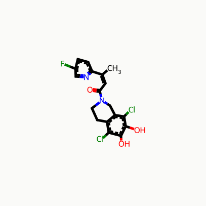 CC(=CC(=O)N1CCc2c(Cl)c(O)c(O)c(Cl)c2C1)c1ccc(F)cn1